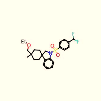 CCOCC1(C)CCC2(CC1)CN(S(=O)(=O)c1ccc(C(F)F)cc1)c1ccccc12